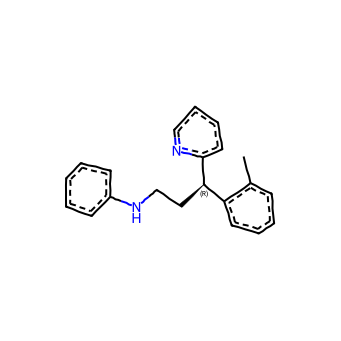 Cc1ccccc1[C@@H](CCNc1ccccc1)c1ccccn1